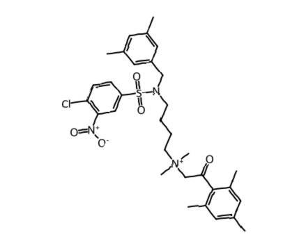 Cc1cc(C)cc(CN(CCCC[N+](C)(C)CC(=O)c2c(C)cc(C)cc2C)S(=O)(=O)c2ccc(Cl)c([N+](=O)[O-])c2)c1